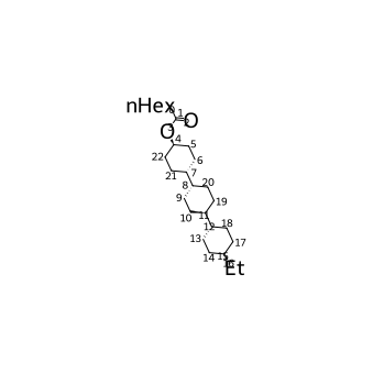 CCCCCCC(=O)O[C@H]1CC[C@H]([C@H]2CC[C@H]([C@H]3CC[C@H](CC)CC3)CC2)CC1